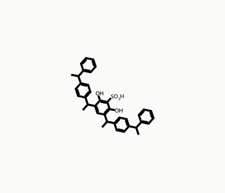 CC(c1ccccc1)c1ccc(C(C)c2cc(C(C)c3ccc(C(C)c4ccccc4)cc3)c(O)c(S(=O)(=O)O)c2O)cc1